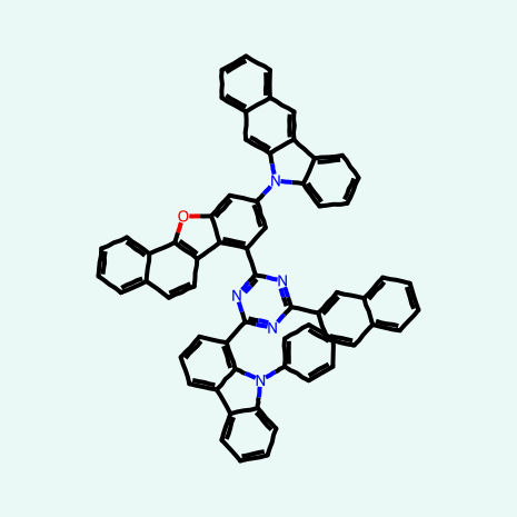 c1ccc(-n2c3ccccc3c3cccc(-c4nc(-c5ccc6ccccc6c5)nc(-c5cc(-n6c7ccccc7c7cc8ccccc8cc76)cc6oc7c8ccccc8ccc7c56)n4)c32)cc1